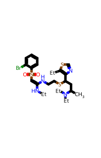 CCNC(=CS(=O)(=O)c1ccccc1Br)NCCSC(CC(C)N(CC)CC)c1ncsc1CC